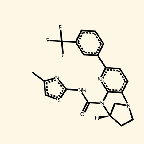 Cc1csc(NC(=O)N2c3nc(-c4cccc(C(F)(F)F)c4)ccc3N3CC[C@H]2C3)n1